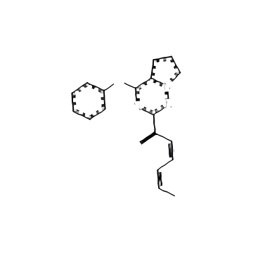 C=C(/C=C\C=C/C)c1nc(Oc2ccccc2)c2cccn2n1